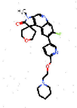 CN1C(=O)C2(CCOCC2)c2c1cnc1cc(F)c(-c3ccc(COCCN4CCCCC4)nc3)cc21